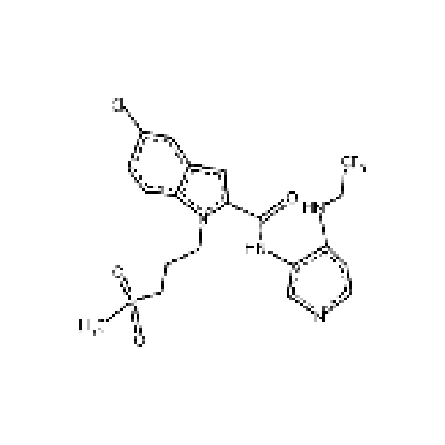 CS(=O)(=O)CCCn1c(C(=O)Nc2cnccc2NCC(F)(F)F)cc2cc(Cl)ccc21